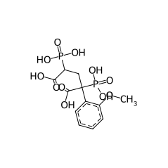 COc1ccccc1C(CC(C(=O)O)P(=O)(O)O)(C(=O)O)P(=O)(O)O